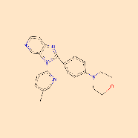 Cc1ccc(-n2c(-c3ccc(N4CCOCC4)cc3)nc3ccncc32)nc1